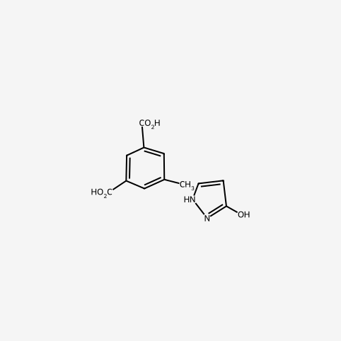 Cc1cc(C(=O)O)cc(C(=O)O)c1.Oc1cc[nH]n1